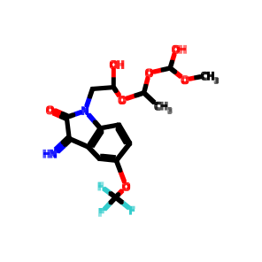 COC(O)OC(C)OC(O)CN1C(=O)C(=N)c2cc(OC(F)(F)F)ccc21